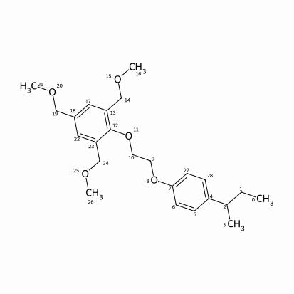 CCC(C)c1ccc(OCCOc2c(COC)cc(COC)cc2COC)cc1